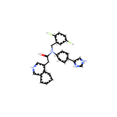 O=C(Cc1cncc2ccccc12)N(Cc1cc(F)ccc1F)c1ccc(-c2c[nH]cn2)cc1